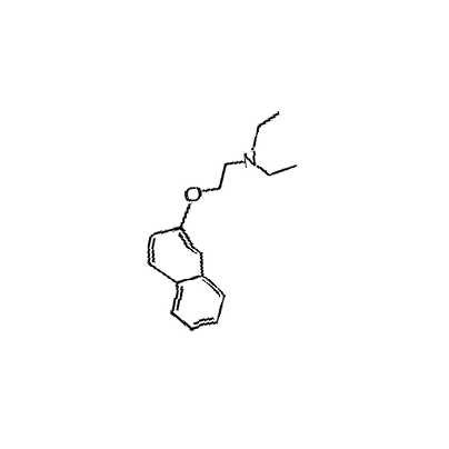 CCN(CC)CCOc1ccc2ccccc2c1